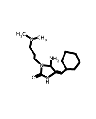 CN(C)CCCN1C(=O)NC(=CC2CCCCC2)C1N